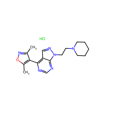 Cc1noc(C)c1-c1ncnc2c1cnn2CCN1CCCCC1.Cl